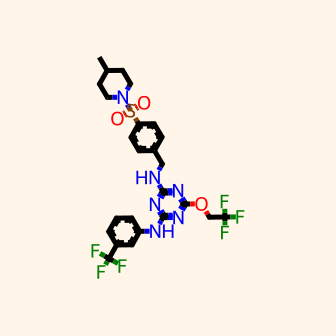 CC1CCN(S(=O)(=O)c2ccc(CNc3nc(Nc4cccc(C(F)(F)F)c4)nc(OCC(F)(F)F)n3)cc2)CC1